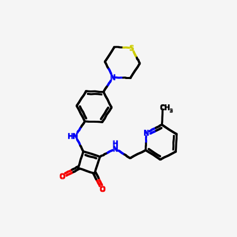 Cc1cccc(CNc2c(Nc3ccc(N4CCSCC4)cc3)c(=O)c2=O)n1